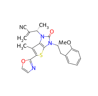 C=C(C#N)[C@H](C)n1c(=O)n(CCc2ccccc2OC)c2sc(-c3ncco3)c(C)c21